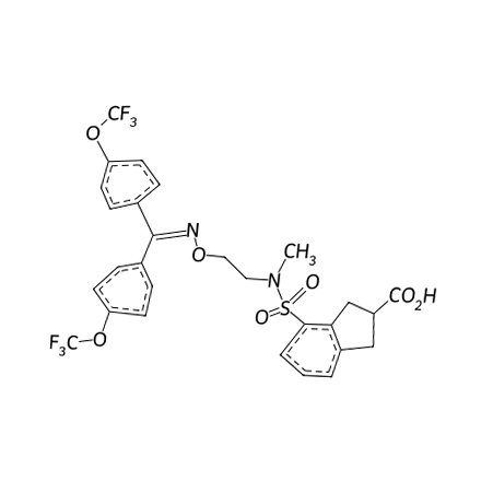 CN(CCON=C(c1ccc(OC(F)(F)F)cc1)c1ccc(OC(F)(F)F)cc1)S(=O)(=O)c1cccc2c1CC(C(=O)O)C2